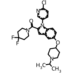 CC(C)N1CCC(Oc2ccc3c(c2)cc(C(=O)N2CCC(F)(F)CC2)n3-c2ccc(Cl)nc2)CC1